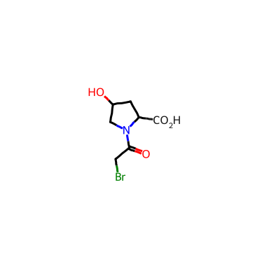 O=C(O)C1CC(O)CN1C(=O)CBr